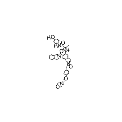 Cc1c(C(=O)Nc2ccc(O)cc2)cc(-c2cc3c(cc2C(=O)N2Cc4ccccc4C[C@H]2C)CN(C(=O)Cc2ccc(OCCN4CCOCC4)cc2)CC3)n1C